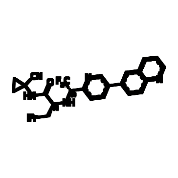 CC(C)C[C@H](N[C@@H](c1ccc(-c2ccc3ncccc3c2)cn1)C(F)(F)F)C(=O)NC1(C#N)CC1